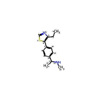 CCc1ncsc1-c1ccc(C(C)NC)cc1